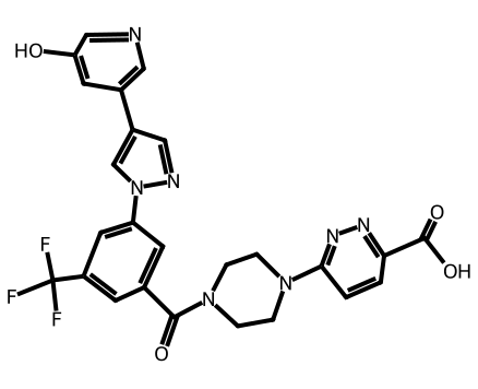 O=C(O)c1ccc(N2CCN(C(=O)c3cc(-n4cc(-c5cncc(O)c5)cn4)cc(C(F)(F)F)c3)CC2)nn1